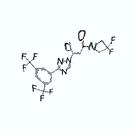 O=C(C=C(Cl)n1cnc(-c2cc(C(F)(F)F)cc(C(F)(F)F)c2)n1)N1CC(F)(F)C1